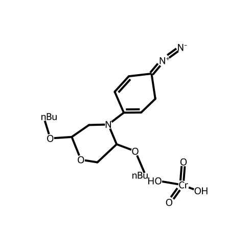 CCCCOC1CN(C2=CCC(=[N+]=[N-])C=C2)C(OCCCC)CO1.[O]=[Cr](=[O])([OH])[OH]